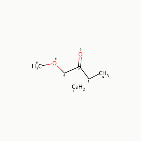 CCC(=O)COC.[CaH2]